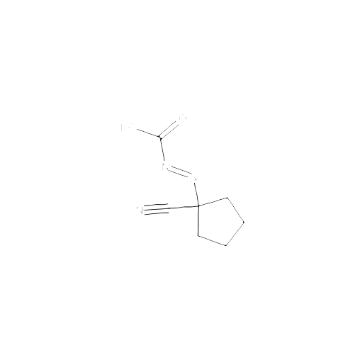 CC(=O)/N=N/C1(C#N)CCCC1